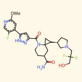 COc1cc(-c2cc(C(=O)N3CCC(C(N)=O)CC34CC4[C@H]3CCN(CC(F)(F)CO)C3)n[nH]2)c(F)cn1